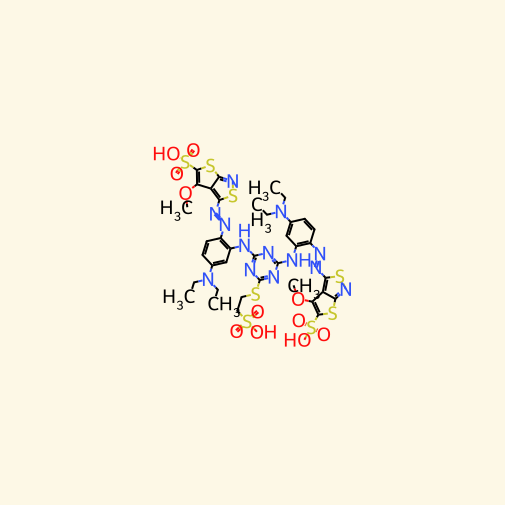 CCN(CC)c1ccc(/N=N/c2snc3sc(S(=O)(=O)O)c(OC)c23)c(Nc2nc(Nc3cc(N(CC)CC)ccc3/N=N/c3snc4sc(S(=O)(=O)O)c(OC)c34)nc(SCCS(=O)(=O)O)n2)c1